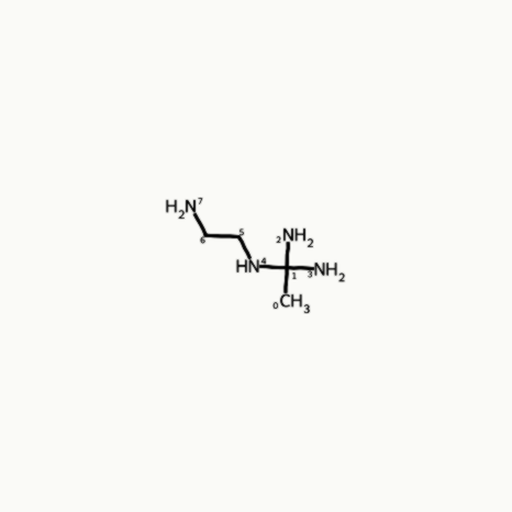 CC(N)(N)NCCN